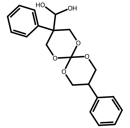 OC(O)C1(c2ccccc2)COC2(OCC(c3ccccc3)CO2)OC1